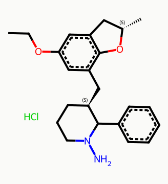 CCOc1cc(C[C@@H]2CCCN(N)C2c2ccccc2)c2c(c1)C[C@H](C)O2.Cl